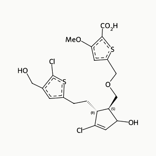 COc1cc(COC[C@H]2C(O)C=C(Cl)[C@@H]2CCc2cc(CO)c(Cl)s2)sc1C(=O)O